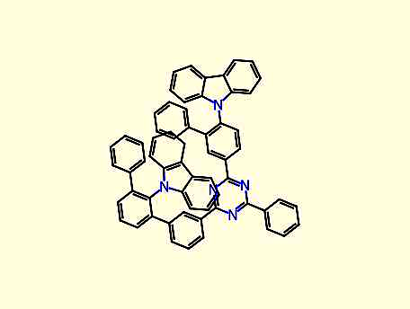 C1=Cc2c(c3ccccc3n2-c2c(-c3ccccc3)cccc2-c2cccc(-c3nc(-c4ccccc4)nc(-c4ccc(-n5c6ccccc6c6ccccc65)c(-c5ccccc5)c4)n3)c2)CC1